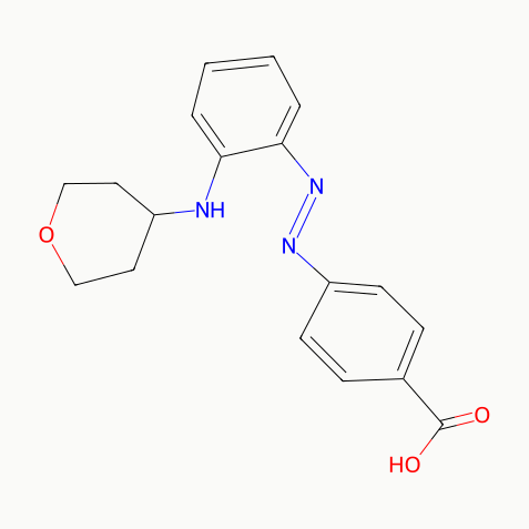 O=C(O)c1ccc(N=Nc2ccccc2NC2CCOCC2)cc1